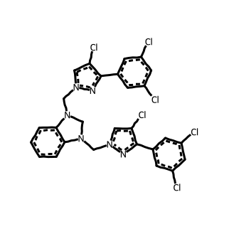 Clc1cc(Cl)cc(-c2nn(CN3CN(Cn4cc(Cl)c(-c5cc(Cl)cc(Cl)c5)n4)c4ccccc43)cc2Cl)c1